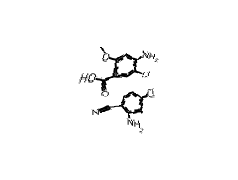 COc1cc(N)c(Cl)cc1C(=O)O.N#Cc1ccc(Cl)cc1N